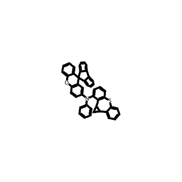 c1ccc(N(c2ccc3c(c2)C2(c4ccccc4O3)c3ccccc3-c3ccccc32)c2cccc3c2C2CC2c2ccccc2S3)cc1